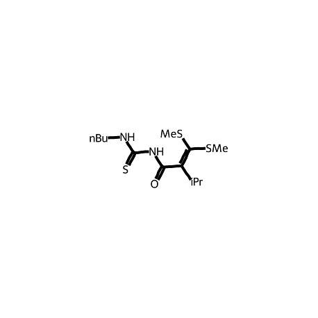 CCCCNC(=S)NC(=O)C(=C(SC)SC)C(C)C